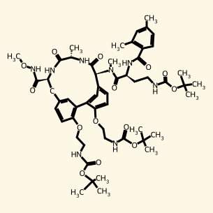 CONC(=O)[C@@H]1Cc2ccc(OCCNC(=O)OC(C)(C)C)c(c2)-c2cc(ccc2OCCNC(=O)OC(C)(C)C)[C@H](N(C)C(=O)[C@H](CCNC(=O)OC(C)(C)C)NC(=O)c2ccc(C)cc2C)C(=O)N[C@@H](C)C(=O)N1